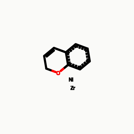 C1=Cc2ccccc2OC1.[Ni].[Zr]